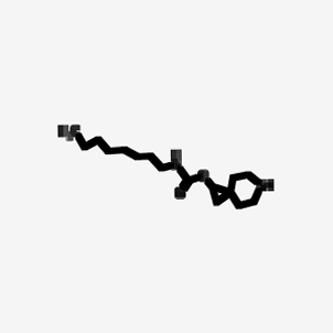 CCCCCCCCNC(=O)OC1CC12CCNCC2